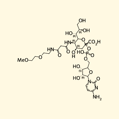 COCCOCCNC(=O)CC(=O)N[C@H]1C([C@H](O)[C@H](O)CO)O[C@@](OP(=O)(O)OCC2OC(n3ccc(N)nc3=O)[C@H](O)[C@@H]2O)(C(=O)O)C[C@H]1O